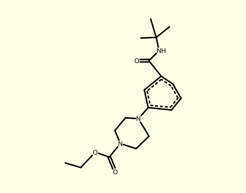 CCOC(=O)N1CCN(c2cccc(C(=O)NC(C)(C)C)c2)CC1